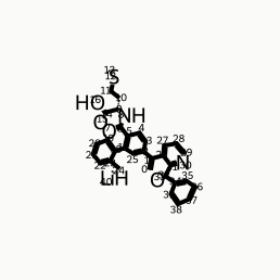 C=C(c1ccc(C(=O)N[C@@H](CCSC)C(=O)O)c(-c2ccccc2C)c1)c1cccnc1C(=O)c1ccccc1.[LiH]